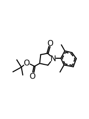 Cc1cccc(C)c1N1CC(C(=O)OC(C)(C)C)CC1=O